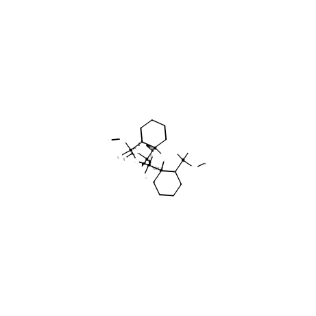 CCSC(C)(O)C1CCCCC1(OC1(C(C)(O)SCC)CCCCC1C(C)(O)SCC)C(C)(O)SCC